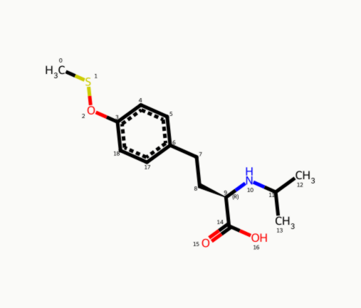 CSOc1ccc(CC[C@@H](NC(C)C)C(=O)O)cc1